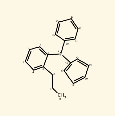 CCCc1ccccc1P(c1ccccc1)c1ccccc1